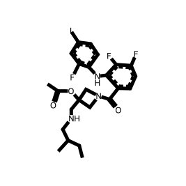 CCC(C)CNCC1(OC(C)=O)CN(C(=O)c2ccc(F)c(F)c2Nc2ccc(I)cc2F)C1